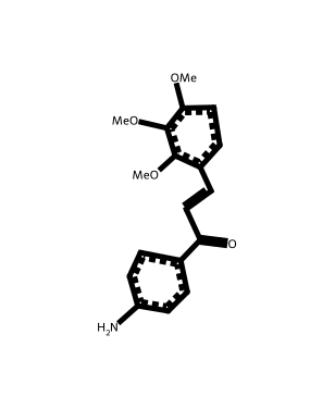 COc1ccc(C=CC(=O)c2ccc(N)cc2)c(OC)c1OC